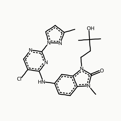 Cc1ccn(-c2ncc(Cl)c(Nc3ccc4c(c3)n(CCC(C)(C)O)c(=O)n4C)n2)n1